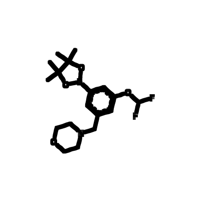 CC1(C)OB(c2cc(CN3CCOCC3)cc(OC(F)F)c2)OC1(C)C